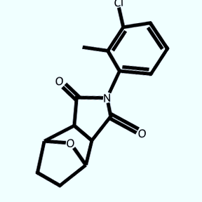 Cc1c(Cl)cccc1N1C(=O)C2C3CCC(O3)C2C1=O